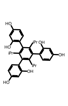 CC(C)c1c(-c2ccc(O)cc2O)c(C(C)C)c(-c2ccc(O)cc2O)c(C(C)C)c1-c1ccc(O)cc1O